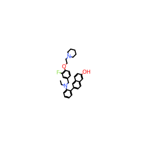 CCN(Cc1ccc(OCCN2CCCCC2)c(F)c1)c1ccccc1-c1ccc2cc(O)ccc2c1